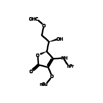 CCCCOC1=C(NCCC)[C@@H]([C@@H](O)COC=O)OC1=O